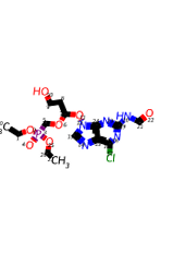 CCOP(=O)(COC(CCO)On1cnc2c(Cl)nc(NC=O)nc21)OCC